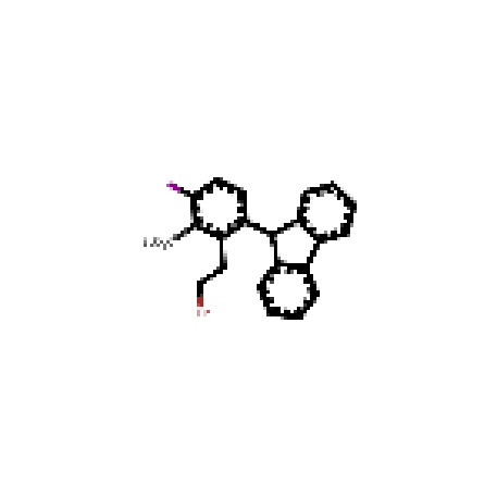 CCOC(=O)c1c(I)ccc(C2c3ccccc3-c3ccccc32)c1CCBr